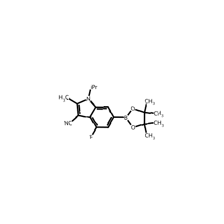 Cc1c(C#N)c2c(F)cc(B3OC(C)(C)C(C)(C)O3)cc2n1C(C)C